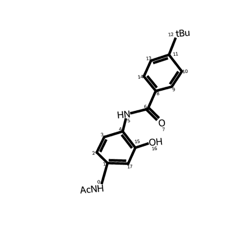 CC(=O)Nc1ccc(NC(=O)c2ccc(C(C)(C)C)cc2)c(O)c1